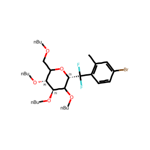 CCCCOCC1O[C@H](C(F)(F)c2ccc(Br)cc2C)C(OCCCC)[C@@H](OCCCC)[C@@H]1OCCCC